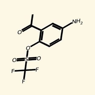 CC(=O)c1cc(N)ccc1OS(=O)(=O)C(F)(F)F